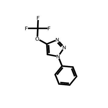 FC(F)(F)Oc1cn(-c2ccccc2)nn1